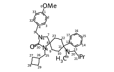 COc1ccc(CN2CC3(CCC(c4ccccc4)(N(C)CC(C)C)CC3)N(CC3CCC3)C2=O)cc1